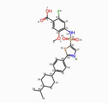 COc1cc(C(=O)O)c(F)cc1NS(=O)(=O)c1cnc(-c2ccc(C3CCC(C(C)C)CC3)cc2)s1